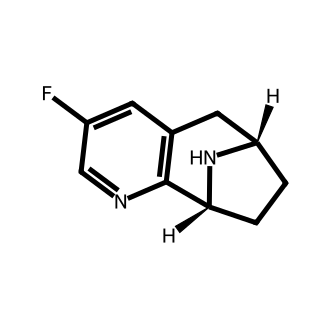 Fc1cnc2c(c1)C[C@@H]1CC[C@H]2N1